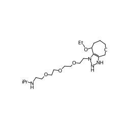 CCOC1CCCCCC2=C1N(CCOCCOCCOCCNC(C)C)NN2